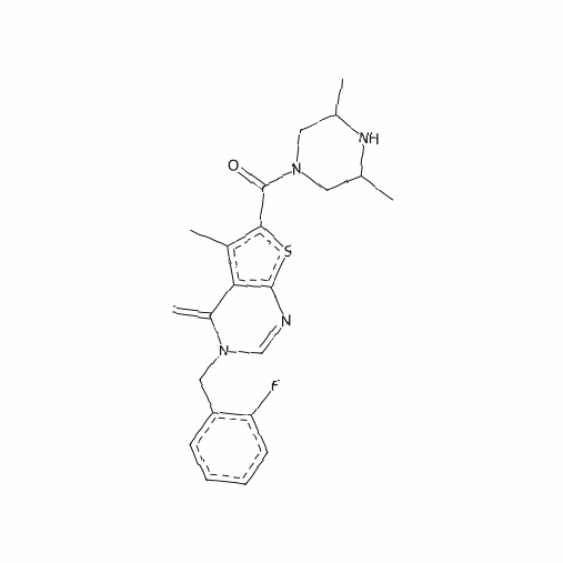 C=C1c2c(sc(C(=O)N3CC(C)NC(C)C3)c2C)N=CN1Cc1ccccc1F